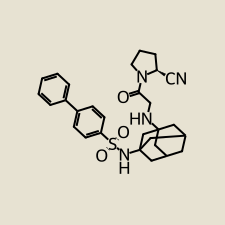 N#C[C@@H]1CCCN1C(=O)CNC12CC3CC(C1)CC(NS(=O)(=O)c1ccc(-c4ccccc4)cc1)(C3)C2